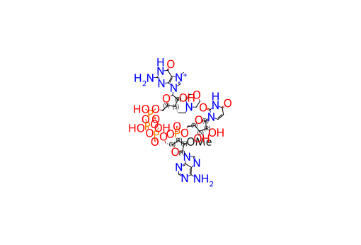 CO[C@@H]1[C@H](P(=O)([O-])OC[C@H]2O[C@@H](n3ccc(=O)[nH]c3=O)[C@H](O)[C@@H]2O)[C@@H](COP(=O)(O)OP(=O)(O)OP(=O)(O)OC[C@H]2OC(n3c[n+](C)c4c(=O)[nH]c(N)nc43)[C@H](O)[C@@H]2CCN2CCOCC2)O[C@H]1n1cnc2c(N)ncnc21